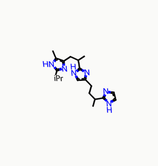 Cc1[nH]c(C(C)C)nc1CC(C)c1nc(CCC(C)c2ncc[nH]2)c[nH]1